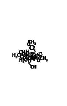 C#CCO[C@H](C)[C@H](NC(=O)OC(C)(C)C)C(=O)N[C@@H](Cc1ccc(OC)cc1)C(=O)N1CCC[C@@]1(C)C(C)=O